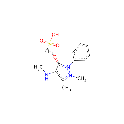 CNc1c(C)n(C)n(-c2ccccc2)c1=O.CS(=O)(=O)O